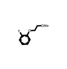 COCCOc1ccc[c]c1F